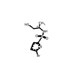 C[C@H](CS)NS(=O)(=O)c1ccc(Br)s1